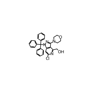 OCc1nc(Cl)cc2c1c(N1CCOCC1)nn2C(c1ccccc1)(c1ccccc1)c1ccccc1